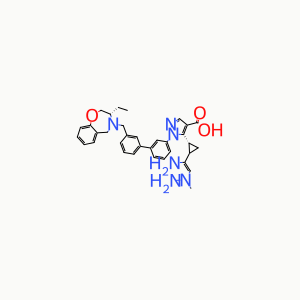 CC[C@H]1COc2ccccc2CN1Cc1cccc(-c2cccc(-n3ncc(C(=O)O)c3[C@@H]3CC3/C(N)=C/N(C)N)c2)c1